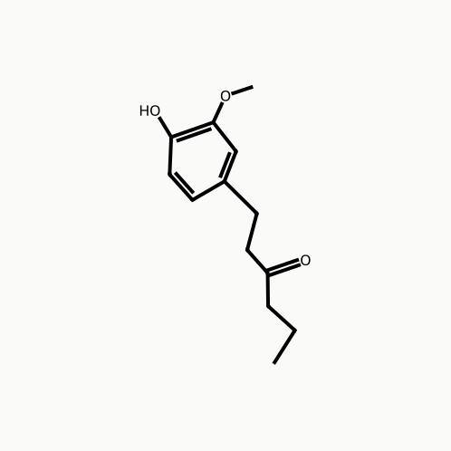 CCCC(=O)CCc1ccc(O)c(OC)c1